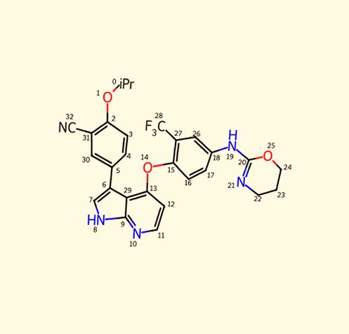 CC(C)Oc1ccc(-c2c[nH]c3nccc(Oc4ccc(NC5=NCCCO5)cc4C(F)(F)F)c23)cc1C#N